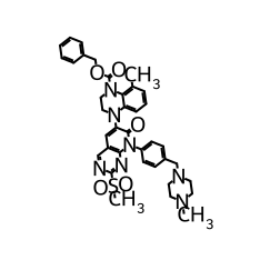 Cc1cccc2c1N(C(=O)OCc1ccccc1)CCN2c1cc2cnc(S(C)(=O)=O)nc2n(-c2ccc(CN3CCN(C)CC3)cc2)c1=O